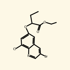 CCOC(=O)C(CC)Oc1cc(Cl)c2ncc(Br)cc2c1